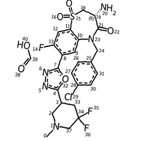 CN1CC(c2nnc(-c3cc4c(cc3F)S(=O)(=O)C[C@H](N)C(=O)N4Cc3ccc(Cl)cc3)o2)CC(F)(F)C1.O=CO